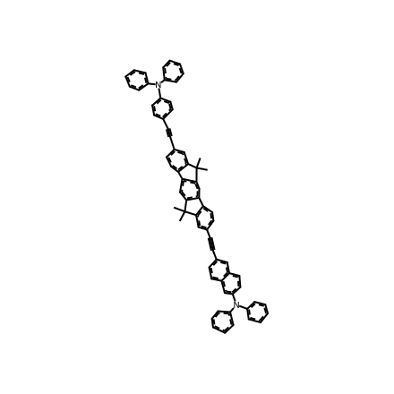 CC1(C)c2cc(C#Cc3ccc(N(c4ccccc4)c4ccccc4)cc3)ccc2-c2cc3c(cc21)-c1ccc(C#Cc2ccc4cc(N(c5ccccc5)c5ccccc5)ccc4c2)cc1C3(C)C